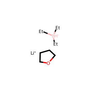 C1CCOC1.CC[BH-](CC)CC.[Li+]